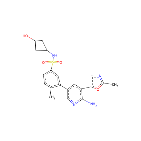 Cc1ncc(-c2cc(-c3cc(S(=O)(=O)NC4CC(O)C4)ccc3C)cnc2N)o1